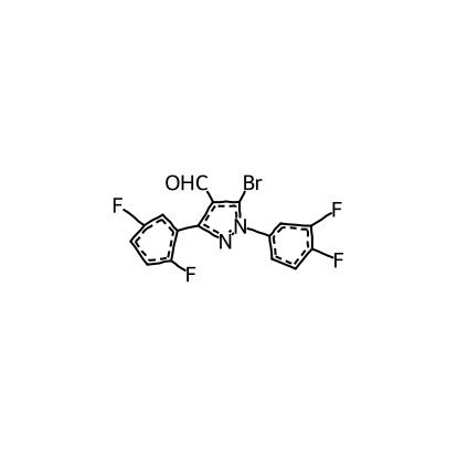 O=Cc1c(-c2cc(F)ccc2F)nn(-c2ccc(F)c(F)c2)c1Br